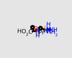 CCCc1nc(NC(=N)N)sc1-c1cccc(NC(=O)CC(CC(=O)O)c2ccccc2)c1